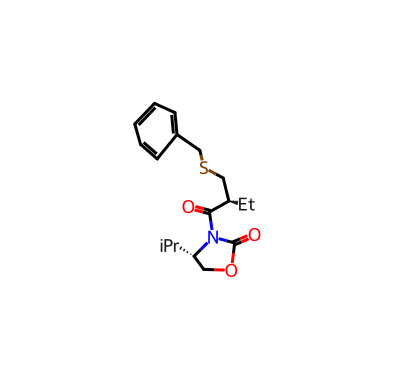 CC[C@H](CSCc1ccccc1)C(=O)N1C(=O)OC[C@@H]1C(C)C